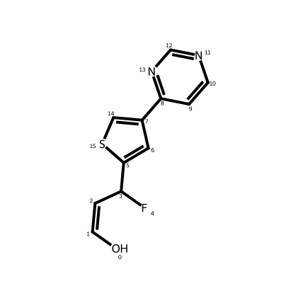 O/C=C\C(F)c1cc(-c2ccncn2)cs1